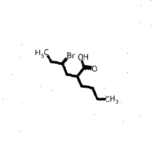 CCCCC(CC(Br)CC)C(=O)O